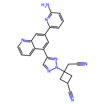 N#CCC1(n2ncc(-c3cc(-c4cccc(N)n4)cc4ncccc34)n2)CC(C#N)C1